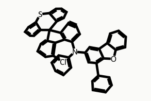 Clc1cccc2c1-c1c(c#ccc1N(c1ccccc1)c1cc(-c3ccccc3)c3oc4ccccc4c3c1)C21c2ccccc2Sc2ccccc21